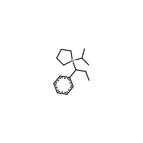 CCC(c1ccccc1)[N+]1(C(C)C)CCCC1